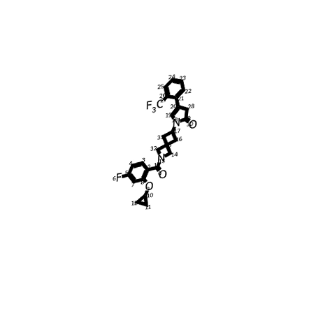 O=C(c1ccc(F)cc1OC1CC1)N1CC2(CC(N3C=C(c4ccccc4C(F)(F)F)CC3=O)C2)C1